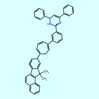 CC1(C)C2=CC(C3=CC=CC(c4cccc(C5=NC(c6ccccc6)=CC(c6ccccc6)N5)c4)=CC3)C=C=C2c2ccc3ccccc3c21